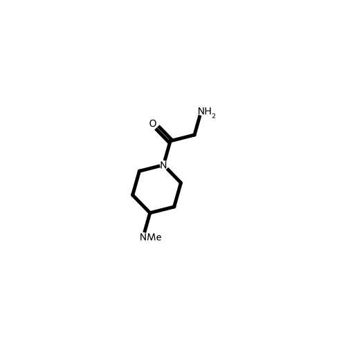 CNC1CCN(C(=O)CN)CC1